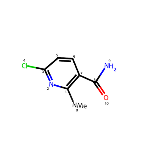 CNc1nc(Cl)ccc1C(N)=O